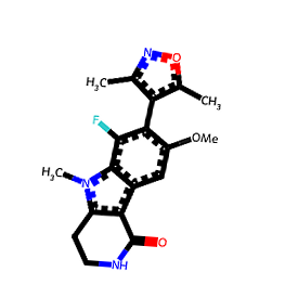 COc1cc2c3c(n(C)c2c(F)c1-c1c(C)noc1C)CCNC3=O